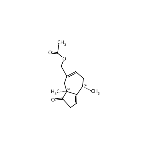 CC(=O)OCC1=CC[C@H](C)C2=CCC(=O)[C@@]2(C)C1